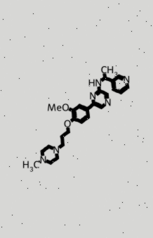 COc1cc(-c2cncc(NC(C)c3cccnc3)n2)ccc1OCCCN1CCN(C)CC1